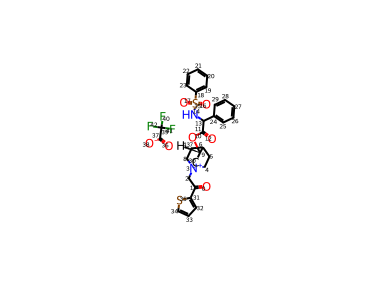 O=C(C[N+]12CCC(CC1)[C@@H](OC(=O)C(NS(=O)(=O)c1ccccc1)c1ccccc1)C2)c1cccs1.O=C([O-])C(F)(F)F